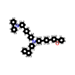 c1cc(-c2ccc(-c3ccc(N(c4ccc(-c5ccc(-c6ccc7c(c6)oc6ccccc67)cc5)cc4)c4ccc(-c5cccc6ccccc56)cc4)cc3)cc2)cc(-n2c3ccccc3c3ccccc32)c1